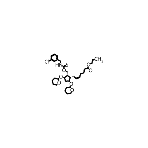 C=CCOC(=O)CCC/C=C\C[C@H]1[C@H](COC(=S)NCc2cccc(Cl)c2)[C@@H](OC2CCCCO2)C[C@@H]1OC1CCCCO1